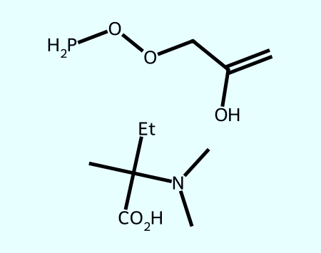 C=C(O)COOP.CCC(C)(C(=O)O)N(C)C